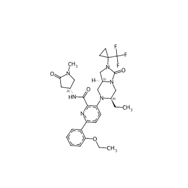 CCOc1ccccc1-c1ccc(N2C[C@H]3CN(C4(C(F)(F)F)CC4)C(=O)N3C[C@H]2CC)c(C(=O)N[C@@H]2CC(=O)N(C)C2)n1